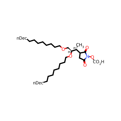 CCCCCCCCCCCCCCCCCCOC[C@H](OCCCCCCCCCCCCCCCCCC)[C@H](C)C1CC(=O)N(OC(=O)O)C1=O